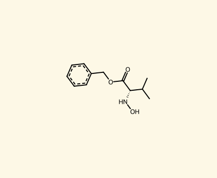 CC(C)[C@H](NO)C(=O)OCc1ccccc1